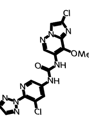 COc1c(NC(=O)Nc2cnc(-n3nccn3)c(Cl)c2)cnn2cc(Cl)nc12